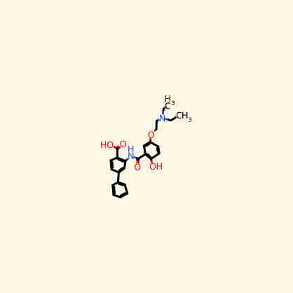 CCN(CC)CCOc1ccc(O)c(C(=O)Nc2cc(-c3ccccc3)ccc2C(=O)O)c1